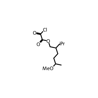 COC(C)CCC(COC(=O)C(=O)Cl)C(C)C